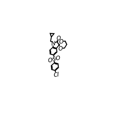 O=C1N(CC2CC2)c2ccc(S(=O)(=O)c3ccc(Cl)cc3)cc2C12OCCCO2